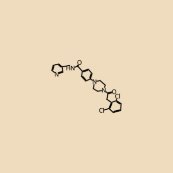 O=C(NCc1cccnc1)c1ccc(N2CCN(C(=O)Cc3c(Cl)cccc3Cl)CC2)cc1